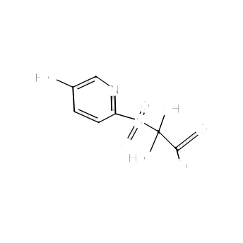 CCC(=O)C(C)(C)S(=O)(=O)c1ccc(C(F)(F)F)cn1